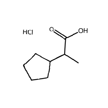 CC(C(=O)O)C1CCCC1.Cl